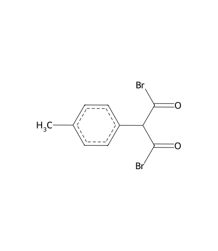 Cc1ccc(C(C(=O)Br)C(=O)Br)cc1